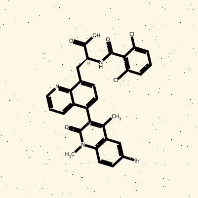 Cc1c(-c2ccc(C[C@H](NC(=O)c3c(Cl)cccc3Cl)C(=O)O)c3ncccc23)c(=O)n(C)c2ccc(Br)cc12